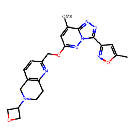 COc1cc(OCc2ccc3c(n2)CCN(C2COC2)C3)nn2c(-c3cc(C)on3)nnc12